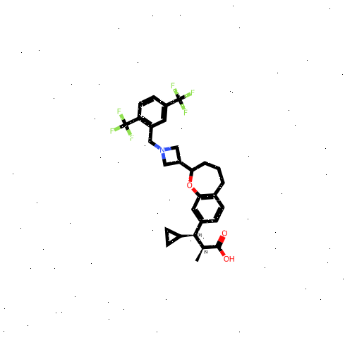 C[C@H](C(=O)O)[C@H](c1ccc2c(c1)OC(C1CN(Cc3cc(C(F)(F)F)ccc3C(F)(F)F)C1)CCC2)C1CC1